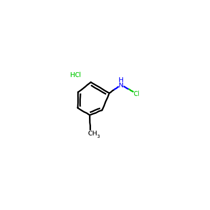 Cc1cccc(NCl)c1.Cl